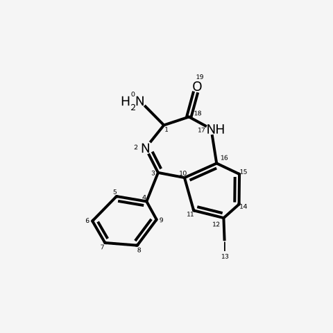 NC1N=C(c2ccccc2)c2cc(I)ccc2NC1=O